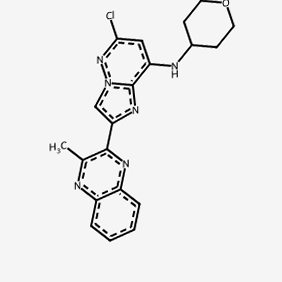 Cc1nc2ccccc2nc1-c1cn2nc(Cl)cc(NC3CCOCC3)c2n1